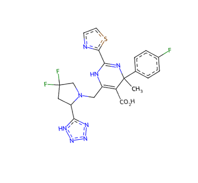 CC1(c2ccc(F)cc2)N=C(c2nccs2)NC(CN2CC(F)(F)CC2c2nnn[nH]2)=C1C(=O)O